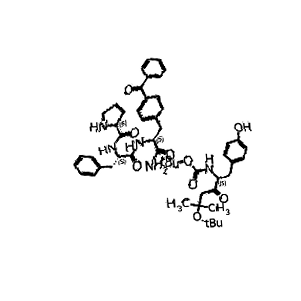 CC(C)(C)OC(=O)N[C@@H](Cc1ccc(O)cc1)C(=O)CC(C)(C)OC(C)(C)C.NC(=O)[C@H](Cc1ccc(C(=O)c2ccccc2)cc1)NC(=O)[C@H](Cc1ccccc1)NC(=O)[C@@H]1CCCN1